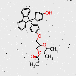 C=CC(=O)OCC(COc1ccc(C2(c3ccc(O)cc3)c3ccccc3-c3ccccc32)cc1)OC(C)CC